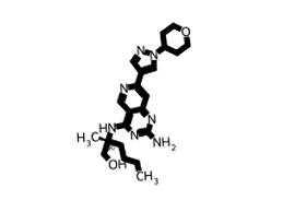 CCCC[C@](C)(CO)Nc1nc(N)nc2cc(-c3cnn(C4CCOCC4)c3)ncc12